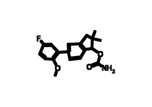 COc1ccc(F)cc1-c1ccc2c(c1)CC(C)(C)C2OC(N)=O